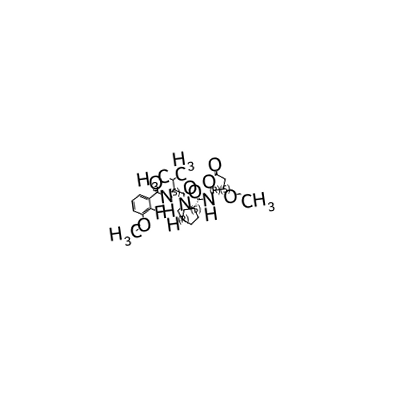 CCO[C@H]1CC(=O)O[C@H]1NC(=O)[C@@]12CC[C@@H](CN1C(=O)[C@@H](NC(=O)c1cccc(OC)c1F)C(C)C)C2